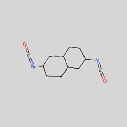 O=C=NC1[CH]C2CCC(N=C=O)CC2CC1